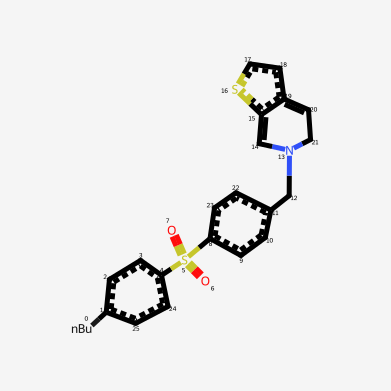 CCCCc1ccc(S(=O)(=O)c2ccc(CN3C=c4sccc4=CC3)cc2)cc1